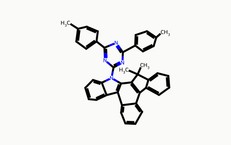 Cc1ccc(-c2nc(-c3ccc(C)cc3)nc(-n3c4ccccc4c4c5ccccc5c5c(c43)C(C)(C)c3ccccc3-5)n2)cc1